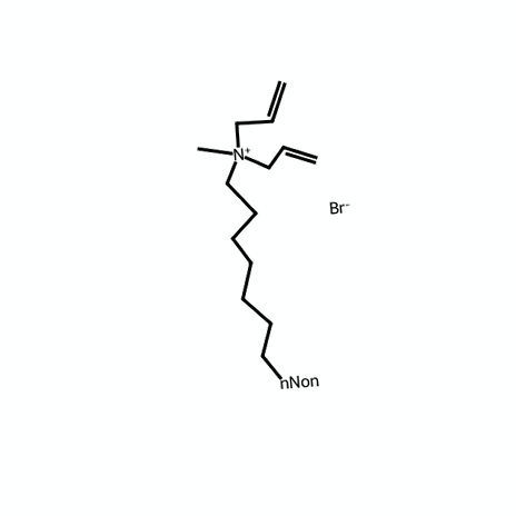 C=CC[N+](C)(CC=C)CCCCCCCCCCCCCCCC.[Br-]